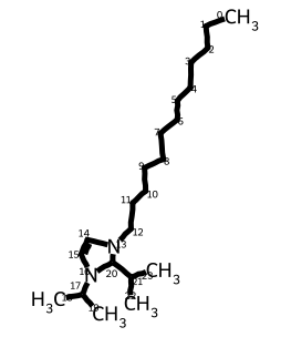 CCCCCCCCCCCCCN1C=CN(C(C)C)C1C(C)C